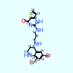 O=c1nc(NCCCN[C@H]2CCNc3c(Br)cc(Br)cc32)[nH]c2ccsc12